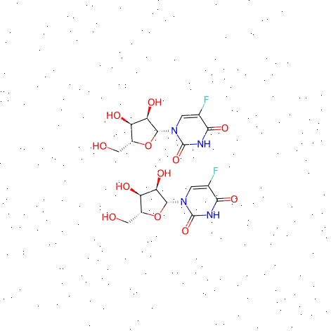 O=c1[nH]c(=O)n([C@@H]2O[C@H](CO)[C@@H](O)[C@H]2O)cc1F.O=c1[nH]c(=O)n([C@@H]2O[C@H](CO)[C@@H](O)[C@H]2O)cc1F